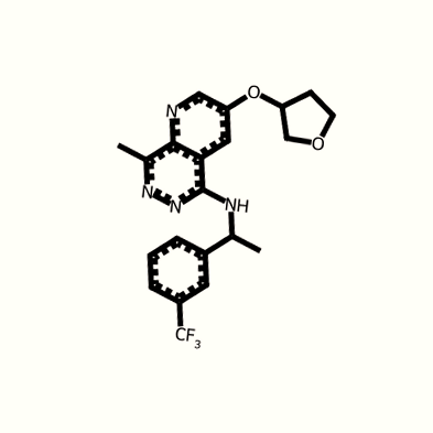 Cc1nnc(NC(C)c2cccc(C(F)(F)F)c2)c2cc(OC3CCOC3)cnc12